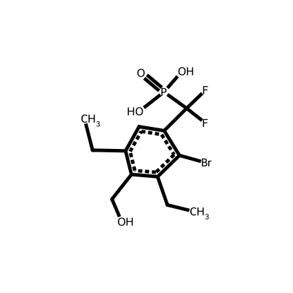 CCc1cc(C(F)(F)P(=O)(O)O)c(Br)c(CC)c1CO